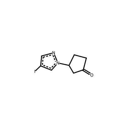 O=C1CCC(n2cc(I)cn2)C1